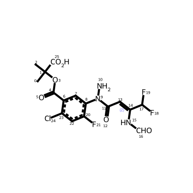 CC(C)(OC(=O)c1cc(N(N)C(=O)/C=C(\NC=O)C(F)F)c(F)cc1Cl)C(=O)O